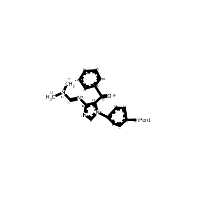 CCCCCc1ccc(-n2cnc(/N=C/N(C)C)c2C(=O)c2ccccc2)cc1